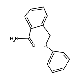 NC(=O)c1ccccc1COc1ccccc1